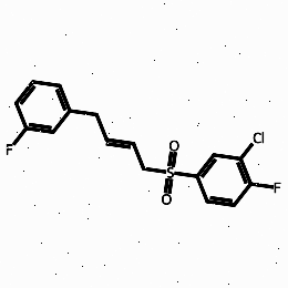 O=S(=O)(CC=CCc1cccc(F)c1)c1ccc(F)c(Cl)c1